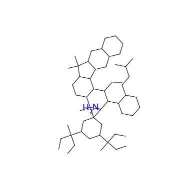 CCC1C2C3C4CC5CCCCC5CC4C(C)(C)C3CCC2C2(C)C3(CC(C(C)(CC)CC)CC(C(C)(CC)CC)C3)C2(N)C1C1CCCCC1CCC(C)C